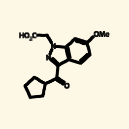 COc1ccc2c(C(=O)C3CCCC3)nn(CC(=O)O)c2c1